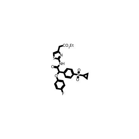 CCOC(=O)Cc1csc(NC(=O)C(Oc2ccc(F)cc2)c2ccc(S(=O)(=O)C3CC3)cc2)n1